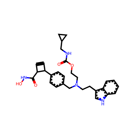 O=C(NCC1CC1)OCCN(CCc1c[nH]c2ccccc12)Cc1ccc(C2C#CC2C(=O)NO)cc1